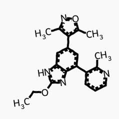 CCOc1nc2c(-c3cccnc3C)cc(-c3c(C)noc3C)cc2[nH]1